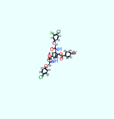 CO[C@@H]1CC2(NC(=O)COc3ccc(Cl)c(F)c3)CC[C@@]1(NC(=O)COc1ccc(Cl)c(F)c1)CC2OC(=O)c1ccc(Br)cc1